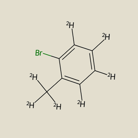 [2H]c1c([2H])c([2H])c(C([2H])([2H])[2H])c(Br)c1[2H]